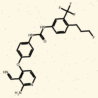 N=Cc1c(Oc2ccc(NC(=O)Nc3ccc(CCCF)c(C(F)(F)F)c3)cc2)ccnc1N